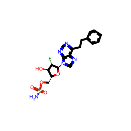 NS(=O)(=O)OC[C@H]1O[C@@H](n2cnc3c(CCc4ccccc4)ncnc32)[C@@H](F)[C@@H]1O